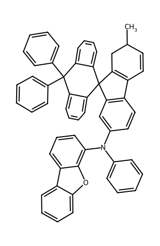 CC1C=CC2=C(C1)C1(c3cc(N(c4ccccc4)c4cccc5c4oc4ccccc45)ccc32)c2ccccc2C(c2ccccc2)(c2ccccc2)c2ccccc21